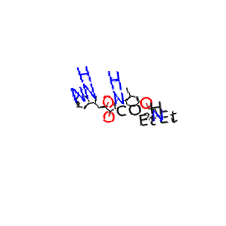 CCN(CC)CCOc1ccc(NC2=C(C(=O)O)C(=O)/C(=C/c3c[nH]c4ncccc34)O2)c(C)c1